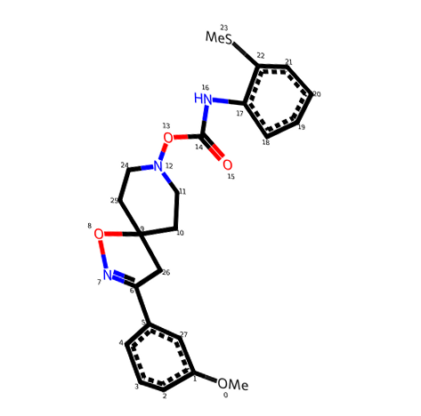 COc1cccc(C2=NOC3(CCN(OC(=O)Nc4ccccc4SC)CC3)C2)c1